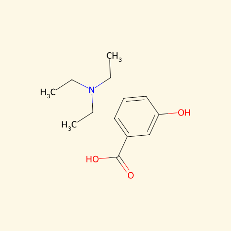 CCN(CC)CC.O=C(O)c1cccc(O)c1